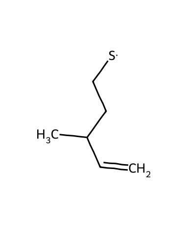 C=CC(C)CC[S]